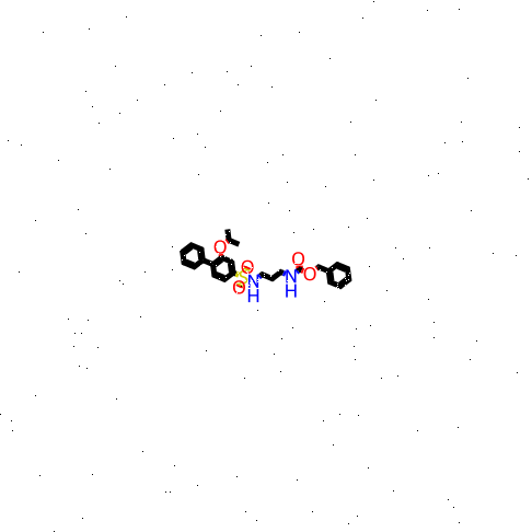 CC(C)Oc1cc(S(=O)(=O)NCCCNC(=O)OCc2ccccc2)ccc1-c1ccccc1